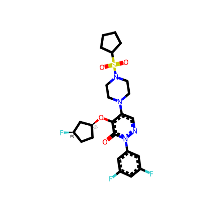 O=c1c(O[C@H]2CC[C@@H](F)C2)c(N2CCN(S(=O)(=O)C3CCCC3)CC2)cnn1-c1cc(F)cc(F)c1